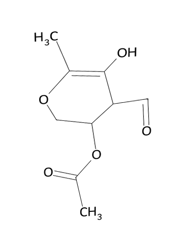 CC(=O)OC1COC(C)=C(O)C1C=O